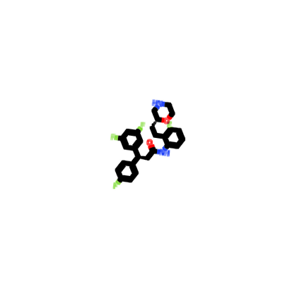 O=C(C[C@@H](c1ccc(F)cc1)c1cc(F)cc(F)c1)Nc1cccc(F)c1CC[C@@H]1CN[CH]CO1